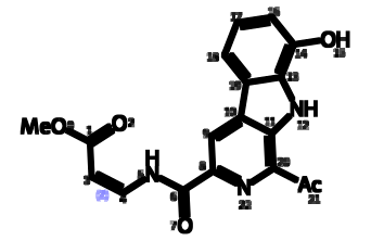 COC(=O)/C=C\NC(=O)c1cc2c([nH]c3c(O)cccc32)c(C(C)=O)n1